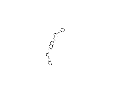 Fc1ccc2nc(-c3ccc(-c4nc5cc6cc7oc(-c8ccc(-c9nc%10ccc(F)cc%10s9)s8)nc7cc6cc5o4)s3)sc2c1